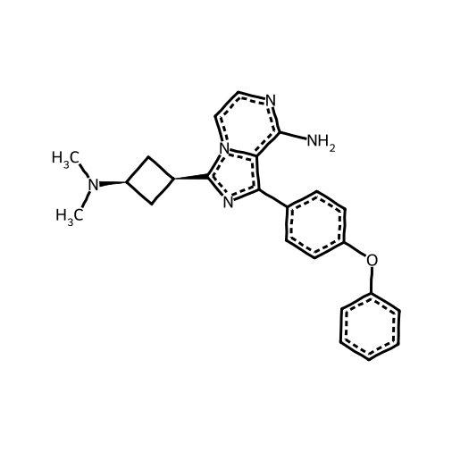 CN(C)[C@H]1C[C@@H](c2nc(-c3ccc(Oc4ccccc4)cc3)c3c(N)nccn32)C1